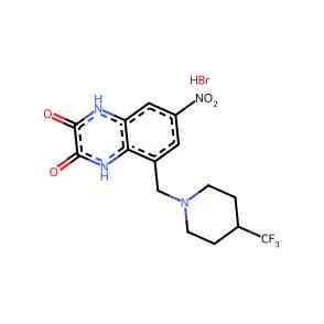 Br.O=c1[nH]c2cc([N+](=O)[O-])cc(CN3CCC(C(F)(F)F)CC3)c2[nH]c1=O